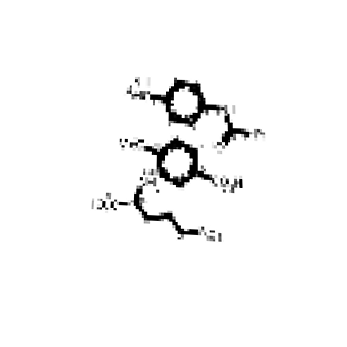 CCCC(=O)Nc1ccc(C=O)cc1.COc1ccc(C(=O)O)cc1.N.NCCC[C@H](N)C(=O)O